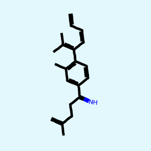 C=C/C=C\C(=C(C)C)c1ccc(C(=N)CCC(=C)C)cc1C